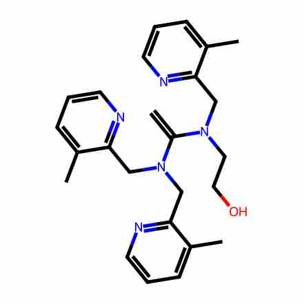 C=C(N(CCO)Cc1ncccc1C)N(Cc1ncccc1C)Cc1ncccc1C